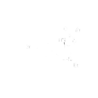 CCN1C[C@H](NS(=O)(=O)C(C)C)[C@@H](c2ccc(Br)cc2)C1